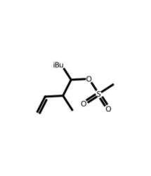 C=CC(C)C(OS(C)(=O)=O)C(C)CC